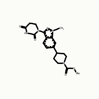 Cn1nc(N2CCC(=O)NC2=O)c2ccc(C3CCN(C(=O)OC(C)(C)C)CC3)cc21